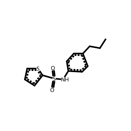 CCCc1ccc(NS(=O)(=O)c2cccs2)cc1